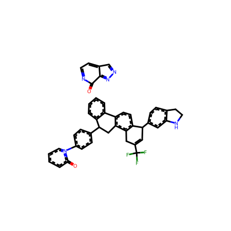 O=C1N=CC=C2C=NN=C12.O=c1ccccn1-c1ccc(C2Cc3c(ccc4c3CC(C(F)(F)F)=CC4c3ccc4c(c3)NCC4)-c3ccccc32)cc1